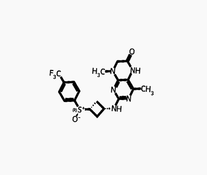 Cc1nc(N[C@H]2C[C@@H]([S@+]([O-])c3ccc(C(F)(F)F)cc3)C2)nc2c1NC(=O)CN2C